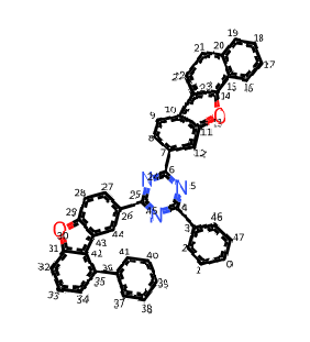 c1ccc(-c2nc(-c3ccc4c(c3)oc3c5ccccc5ccc43)nc(-c3ccc4oc5cccc(-c6ccccc6)c5c4c3)n2)cc1